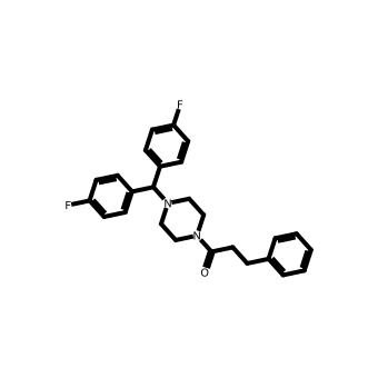 O=C(CCc1ccccc1)N1CCN(C(c2ccc(F)cc2)c2ccc(F)cc2)CC1